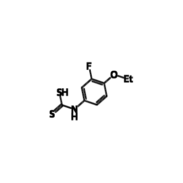 CCOc1ccc(NC(=S)S)cc1F